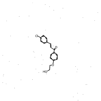 O=C(/C=C/c1ccc(Cl)cc1)c1ccc(OCCO)cc1